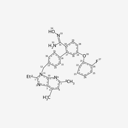 CCc1nc2c(C)cc(C)nc2n1Cc1ccc(-c2cc(Oc3ccccc3F)ccc2/C(N)=N/O)cc1